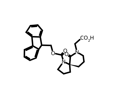 O=C(O)CN1CCC[C@]2(CCCN2C(=O)OCC2c3ccccc3-c3ccccc32)C1=O